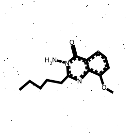 CCCCCc1nc2c(OC)cccc2c(=O)n1N